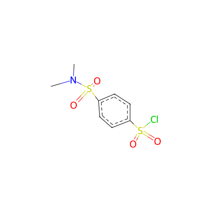 CN(C)S(=O)(=O)c1ccc(S(=O)(=O)Cl)cc1